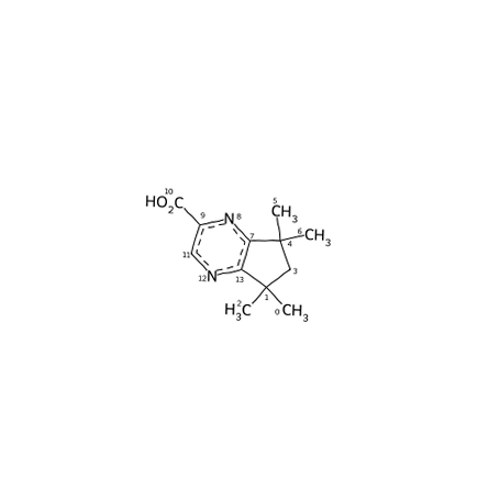 CC1(C)CC(C)(C)c2nc(C(=O)O)cnc21